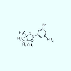 CC1(C)OB(c2cc(N)cc(Br)c2)OC1(C)C